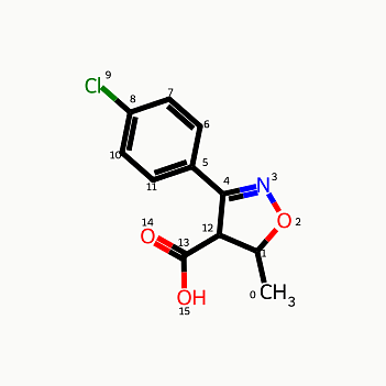 CC1ON=C(c2ccc(Cl)cc2)C1C(=O)O